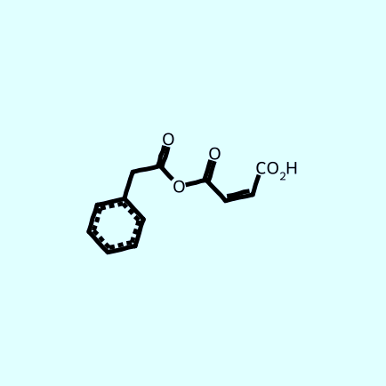 O=C(O)/C=C\C(=O)OC(=O)Cc1ccccc1